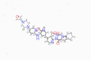 C[C@H]1CN(C2COC2)CCN1c1ccc(Nc2cc(-c3ccnc(-n4ncn5c6c(cc5c4=O)CCCC6)c3CO)cn(C)c2=O)nc1